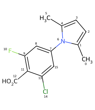 Cc1ccc(C)n1-c1cc(F)c(C(=O)O)c(Cl)c1